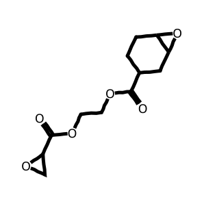 O=C(OCCOC(=O)C1CO1)C1CCC2OC2C1